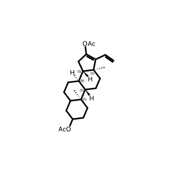 C=CC1=C(OC(C)=O)C[C@H]2[C@@H]3CCC4CC(OC(C)=O)CC[C@]4(C)[C@H]3CC[C@]12C